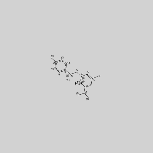 CC(C)=C[C@@H](C[C@H](C)c1ccc(C)cc1)NCC(C)C